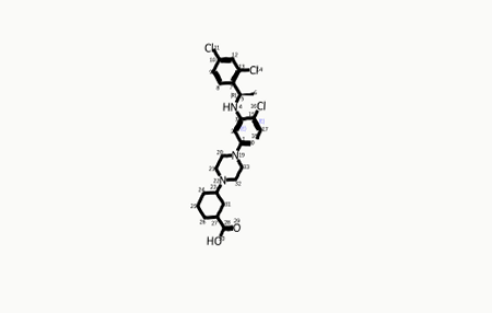 C=C(/C=C(N[C@H](C)c1ccc(Cl)cc1Cl)\C(Cl)=C/C)N1CCN(C2CCCC(C(=O)O)C2)CC1